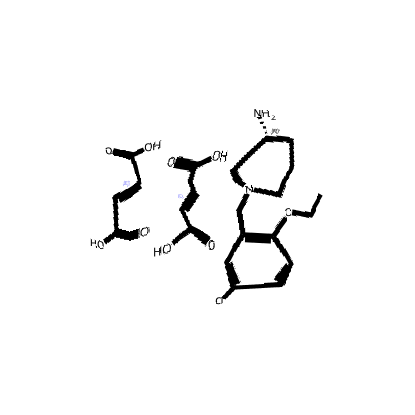 CCOc1ccc(Cl)cc1CN1CCC[C@@H](N)C1.O=C(O)/C=C/C(=O)O.O=C(O)/C=C/C(=O)O